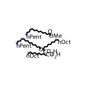 CCCCC/C=C\C/C=C\CCCCCCCC(=O)OC.CCCCC/C=C\C/C=C\CCCCCCCCOC(CCCCCC/C=C\CCCCCCCC)C(=O)O.CCCCCCCC/C=C\CCCCCCCC(=O)O